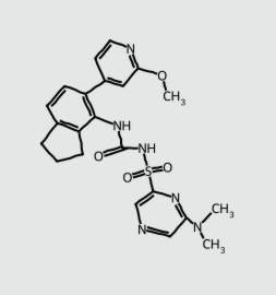 COc1cc(-c2ccc3c(c2NC(=O)NS(=O)(=O)c2cncc(N(C)C)n2)CCC3)ccn1